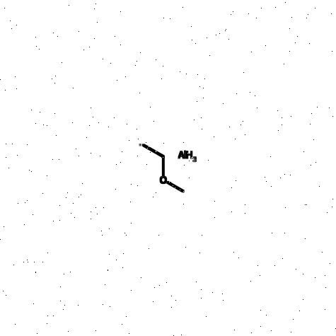 [AlH3].[CH2]COC